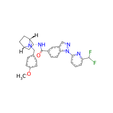 COc1ccc(CN2[C@H]3CC[C@@H]2[C@H](NC(=O)c2ccc4c(cnn4-c4cccc(C(F)F)n4)c2)C3)cc1